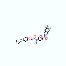 O=C(COc1ccc(C(F)(F)F)cc1)N[C@@H]1CC[C@@H](C(=O)N2Cc3ccc(C(F)(F)F)cc3C2)OC1